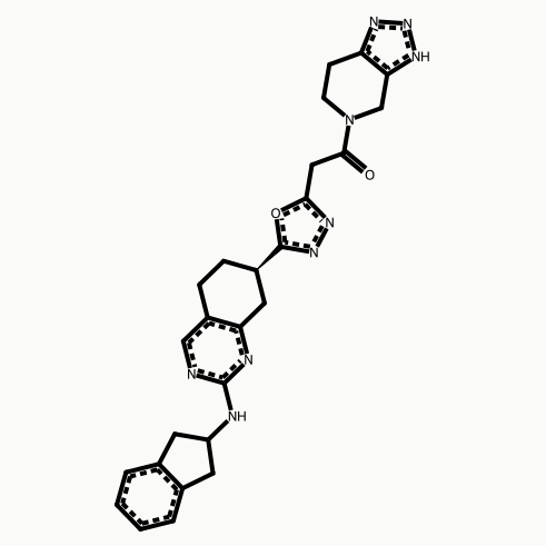 O=C(Cc1nnc([C@@H]2CCc3cnc(NC4Cc5ccccc5C4)nc3C2)o1)N1CCc2nn[nH]c2C1